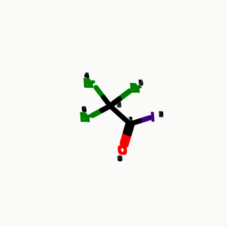 O=C(I)C(Br)(Br)Br